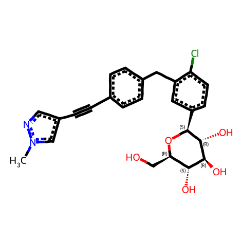 Cn1cc(C#Cc2ccc(Cc3cc([C@@H]4O[C@H](CO)[C@@H](O)[C@H](O)[C@H]4O)ccc3Cl)cc2)cn1